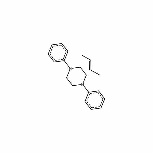 CC=CC.c1ccc(N2CCN(c3ccccc3)CC2)cc1